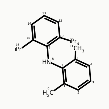 Cc1cccc(C)c1Nc1c(C(C)C)cccc1C(C)C